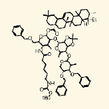 CC[C@]1(C)[C@@H]2CC[C@@]3(C)C(CC=C4C5CC(C)(C)CC[C@]5(C(=O)O[C@@H]5OC(COCc6ccccc6)[C@H](NC(=O)CCCCCNC(=O)OC(C)(C)C)C(C)C5O[C@@H]5OC(C)[C@H](O[C@@H]6OC[C@@H](OCc7ccccc7)C(OCc7ccccc7)C6C)C6OC(C)(C)OC65)CC[C@]43C)C2(C)CC[C@@H]1C